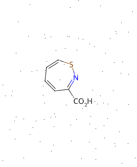 O=C(O)C1=NSC=CC=C1